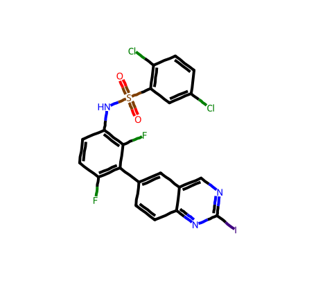 O=S(=O)(Nc1ccc(F)c(-c2ccc3nc(I)ncc3c2)c1F)c1cc(Cl)ccc1Cl